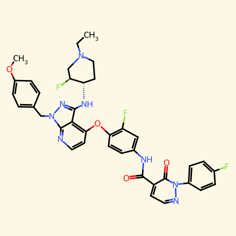 CCN1CC[C@H](Nc2nn(Cc3ccc(OC)cc3)c3nccc(Oc4ccc(NC(=O)c5ccnn(-c6ccc(F)cc6)c5=O)cc4F)c23)[C@@H](F)C1